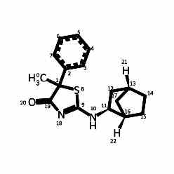 CC1(c2ccccc2)SC(N[C@H]2C[C@@H]3CC[C@H]2C3)=NC1=O